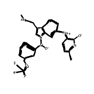 CNCc1cn([S+]([O-])c2cccc(OC(F)(F)F)c2)c2cc(Nc3ccc(C)nc3Cl)ccc12